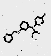 CC(C)(C)OC(=O)N(c1cccc(OCc2ccccc2)c1)c1ncc(Br)cn1